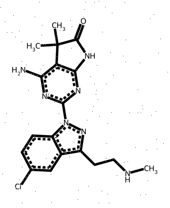 CNCCc1nn(-c2nc(N)c3c(n2)NC(=O)C3(C)C)c2ccc(Cl)cc12